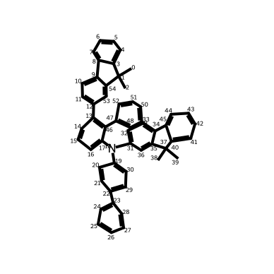 CC1(C)c2ccccc2-c2ccc(-c3cccc(N(c4ccc(-c5ccccc5)cc4)c4ccc5c(c4)C(C)(C)c4ccccc4-5)c3-c3ccccc3)cc21